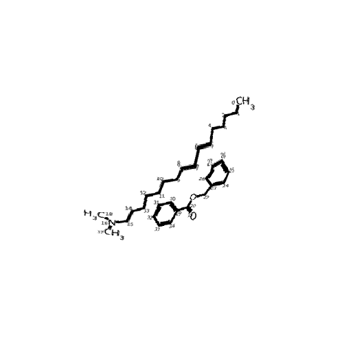 CCCCCCCCCCCCCCCCN(C)C.O=C(OCc1ccccc1)c1ccccc1